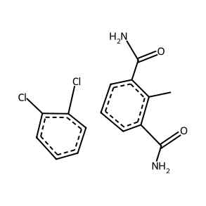 Cc1c(C(N)=O)cccc1C(N)=O.Clc1ccccc1Cl